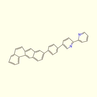 c1ccc(-c2ccc(-c3ccc(-c4ccc5cc6c(ccc7ccccc76)cc5c4)cc3)cn2)nc1